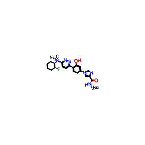 CN(c1ccc(-c2ccc(-n3cnc(C(=O)NC(C)(C)C)c3)cc2O)nn1)[C@@H]1CCCC[C@@H]1F